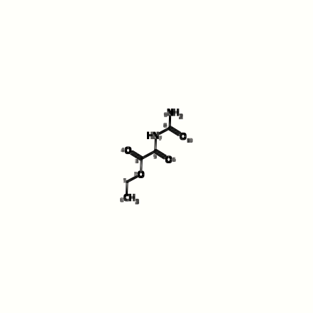 CCOC(=O)C(=O)NC(N)=O